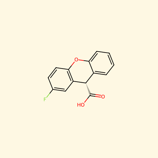 O=C(O)[C@H]1c2ccccc2Oc2ccc(F)cc21